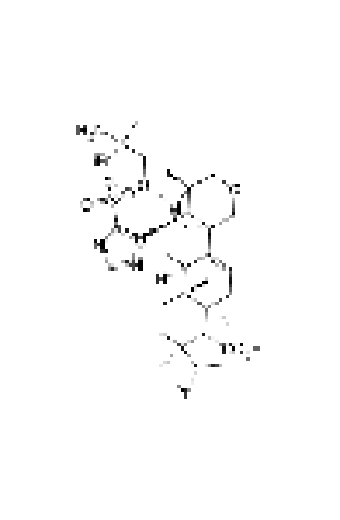 CCS(=O)(=O)c1ncnn1[C@@H]1C[C@@]23COC[C@](C)([C@@H]2CC[C@H]2C3=CC[C@@]3(C)[C@H](C(=O)O)[C@@](C)([C@H](C)C(C)C)CC[C@]23C)[C@H]1OC[C@](C)(N)C(C)C